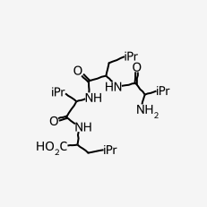 CC(C)CC(NC(=O)C(NC(=O)C(CC(C)C)NC(=O)C(N)C(C)C)C(C)C)C(=O)O